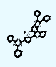 FC(F)(F)c1cc2nc(-c3ccccc3)c(-c3ccccc3)nc2c2c1c(-c1ccc(-c3nc(-c4ccccc4)nc(-c4ccccc4)n3)cc1)nc1ccccc12